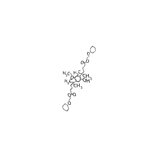 CCOc1cc(C(C)(C)CCCC(=O)OCCOC2CCCCC2)c(O)cc1C(C)(C)CCCC(=O)OCCOC1CCCCC1